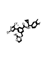 CCn1cc(-c2cc(CN3CCOC3=N)cc(C(=O)NC(c3ccc(F)c(C)c3)C3CC3)c2)c(C(F)(F)F)n1